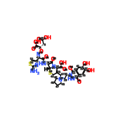 Nc1nc(/C(=N/O[C@@H](CC(=O)O)C(=O)O)C(=O)N[C@@H]2C(=O)N3C(C(=O)O)=C(C[N+]4(CCn5[nH]c(=O)c6cc(O)c(O)cc6c5=O)CCCC4)CS[C@H]23)cs1